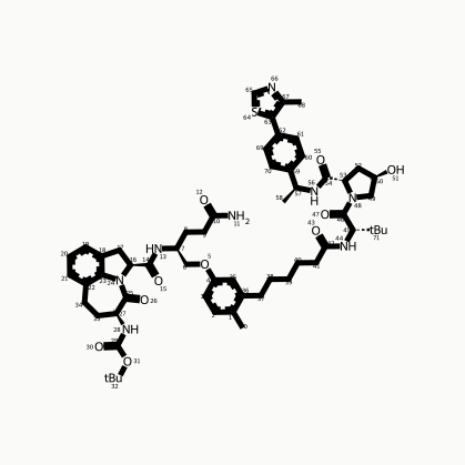 Cc1ccc(OC[C@H](CCC(N)=O)NC(=O)[C@@H]2Cc3cccc4c3N2C(=O)[C@@H](NC(=O)OC(C)(C)C)CC4)cc1CCCCCC(=O)N[C@H](C(=O)N1C[C@H](O)C[C@H]1C(=O)N[C@@H](C)c1ccc(-c2scnc2C)cc1)C(C)(C)C